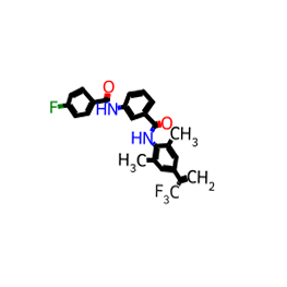 C=C(c1cc(C)c(NC(=O)c2cccc(NC(=O)c3ccc(F)cc3)c2)c(C)c1)C(F)(F)F